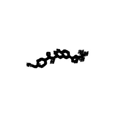 [2H]C([2H])([2H])n1cc(-c2ccc3nnc(NC(=O)C4CCN(CC(C)C)CC4)cc3c2)cn1